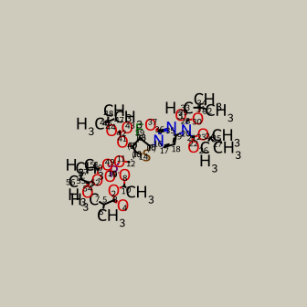 CC(OC(=O)C(C)C)OP(=O)(OC[C@H]1S[C@@H](n2ccc(N(C(=O)OC(C)(C)C)C(=O)OC(C)(C)C)nc2=O)[C@@H](F)[C@@H]1OC(=O)OC(C)(C)C)OC(C)OC(=O)C(C)C